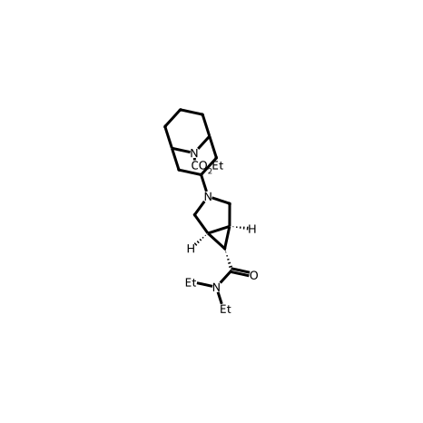 CCOC(=O)N1C2CCCC1CC(N1C[C@@H]3[C@H](C1)[C@H]3C(=O)N(CC)CC)C2